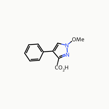 COn1cc(-c2ccccc2)c(C(=O)O)n1